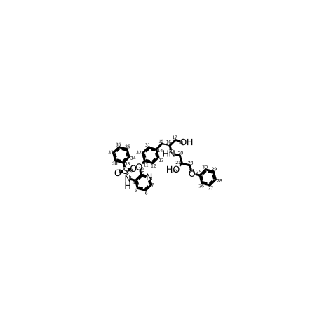 O=S(=O)(Nc1cccnc1Oc1ccc(C[C@@H](CO)NCC(O)COc2ccccc2)cc1)c1ccccc1